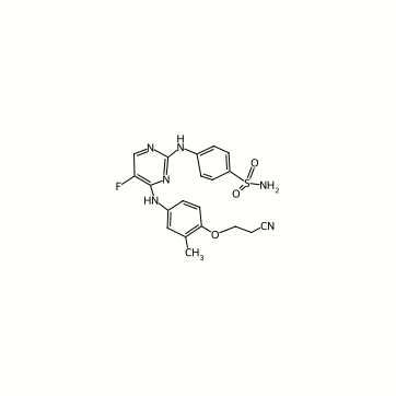 Cc1cc(Nc2nc(Nc3ccc(S(N)(=O)=O)cc3)ncc2F)ccc1OCCC#N